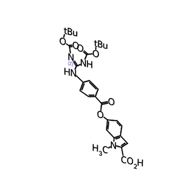 Cn1c(C(=O)O)cc2ccc(OC(=O)c3ccc(N/C(=N/C(=O)OC(C)(C)C)NC(=O)OC(C)(C)C)cc3)cc21